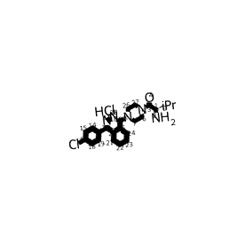 CC(C)[C@H](N)C(=O)N1CCN(c2nnc(-c3ccc(Cl)cc3)c3ccccc23)CC1.Cl